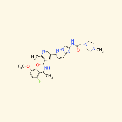 Cc1ncc(-c2ccc3nc(NC(=O)CN4CCN(C)CC4)cn3n2)cc1C(=O)NC(C)c1cc(OC(F)(F)F)ccc1F